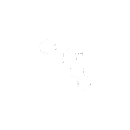 CON(C(=O)c1cc2ccccc2cc1O)c1ccccc1